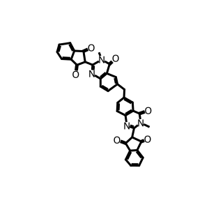 Cn1c(C2C(=O)c3ccccc3C2=O)nc2ccc(Cc3ccc4nc(C5C(=O)c6ccccc6C5=O)n(C)c(=O)c4c3)cc2c1=O